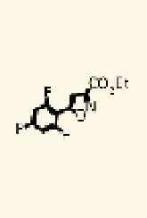 CCOC(=O)c1cc(-c2c(F)cc(F)cc2F)on1